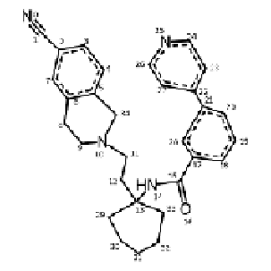 N#Cc1ccc2c(c1)CCN(CCC1(NC(=O)c3cccc(-c4ccncc4)c3)CCCCC1)C2